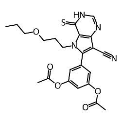 CCCOCCCn1c(-c2cc(OC(C)=O)cc(OC(C)=O)c2)c(C#N)c2nc[nH]c(=S)c21